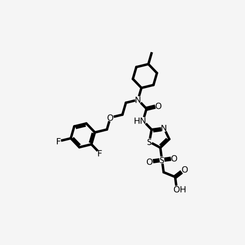 CC1CCC(N(CCOCc2ccc(F)cc2F)C(=O)Nc2ncc(S(=O)(=O)CC(=O)O)s2)CC1